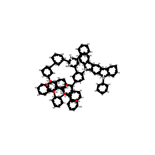 c1ccc(-c2cc(-c3ccc(-n4c5ccccc5c5cc6c7ccccc7n(-c7ccccc7)c6cc54)c(-c4cc(-c5ccccc5)nc(-c5cccc(-c6cccc(N7c8ccccc8B8c9ccccc9N(c9ccccc9)c9cccc7c98)c6)c5)n4)c3)nc(-c3ccccc3)n2)cc1